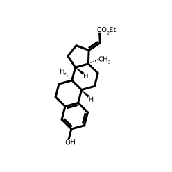 CCOC(=O)C=C1CC[C@H]2[C@@H]3CCc4cc(O)ccc4[C@H]3CC[C@]12C